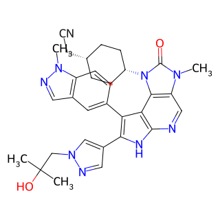 Cn1ncc2cc(-c3c(-c4cnn(CC(C)(C)O)c4)[nH]c4ncc5c(c34)n([C@H]3CC[C@@H](CC#N)CC3)c(=O)n5C)ccc21